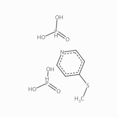 CSc1ccncc1.O=[PH](O)O.O=[PH](O)O